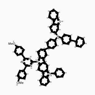 COc1ccc(-c2nc(-c3ccc(OC)cc3)nc(-n3c4ccc(-c5ccc(N(c6ccc(-c7ccccc7)cc6)c6ccc7c(c6)sc6ccccc67)cc5)cc4c4cc5c(cc43)c3ccccc3n5-c3ccccc3)n2)cc1